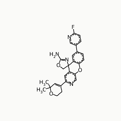 CC1(C)C=C(c2cc3c(cn2)Oc2ccc(-c4ccc(F)nc4)cc2C32COC(N)=N2)CCO1